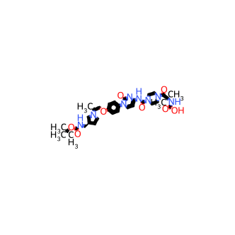 CC(COc1ccc(-n2ccc(NC(=O)N3CCN(C(=O)C(C)(C)NC(=O)O)CC3)nc2=O)cc1)N1CC[C@@H](CNC(=O)OC(C)(C)C)C1